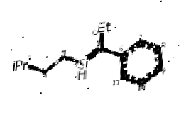 CCC(=[SiH]CCC(C)C)c1ccccc1